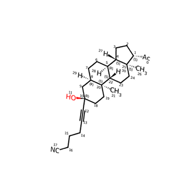 CC(=O)[C@H]1CC[C@H]2[C@@H]3CC[C@@H]4C[C@@](O)(C#CCCCC#N)CC[C@]4(C)[C@H]3CC[C@]12C